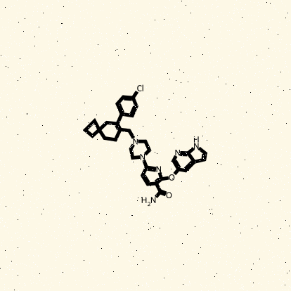 NC(=O)c1ccc(N2CCN(CC3=C(c4ccc(Cl)cc4)CC4(CCC4)CC3)CC2)nc1Oc1cnc2[nH]ccc2c1